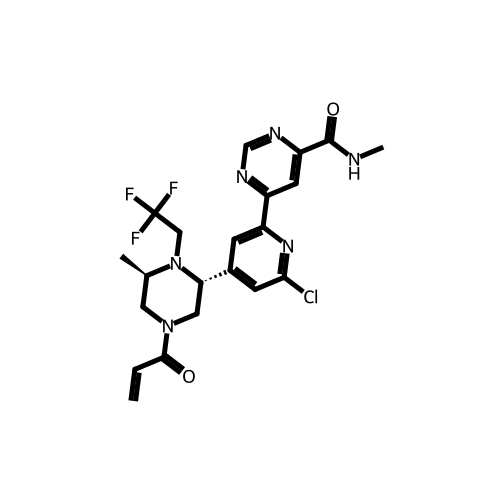 C=CC(=O)N1C[C@@H](C)N(CC(F)(F)F)[C@H](c2cc(Cl)nc(-c3cc(C(=O)NC)ncn3)c2)C1